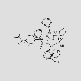 CN(C)C(=O)[C@@H]1CCC(NC(=O)[C@H]2[C@H](c3ccnc(Cl)c3F)C3(C(=O)Nc4cc(Cl)ccc43)C3(CC(CF)(CF)C3)N2[C@H](c2ccccc2)[C@@H](O)c2ccccc2)CO1